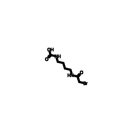 O=C(O)NCCCCNC(=O)CBr